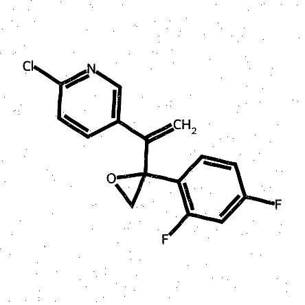 C=C(c1ccc(Cl)nc1)C1(c2ccc(F)cc2F)CO1